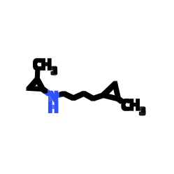 CC1CC1CCCCNC1CC1C